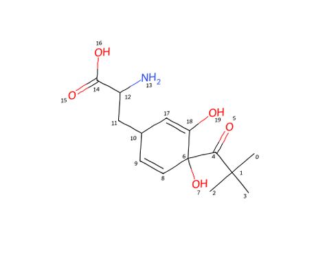 CC(C)(C)C(=O)C1(O)C=CC(CC(N)C(=O)O)C=C1O